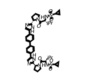 CC(C)[C@@H](NS(=O)(=O)C1CC1)C(=O)N1CCC[C@H]1c1ncc(-c2ccc(-c3ccc(-c4cnc([C@@H]5CCCN5C(=O)[C@H](NS(=O)(=O)C5CC5)C(C)C)[nH]4)cc3)cc2)[nH]1